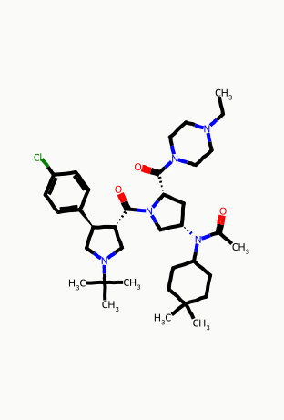 CCN1CCN(C(=O)[C@@H]2C[C@H](N(C(C)=O)C3CCC(C)(C)CC3)CN2C(=O)[C@@H]2CN(C(C)(C)C)C[C@H]2c2ccc(Cl)cc2)CC1